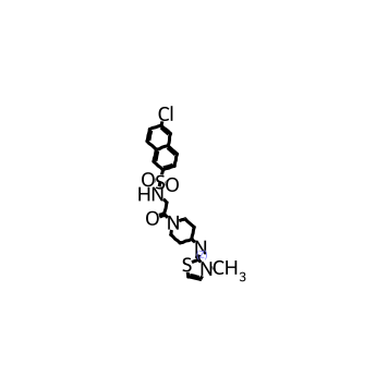 Cn1ccs/c1=N\C1CCN(C(=O)CNS(=O)(=O)c2ccc3cc(Cl)ccc3c2)CC1